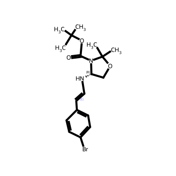 CC(C)(C)OC(=O)N1[C@@H](N/C=C/c2ccc(Br)cc2)COC1(C)C